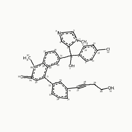 Cn1cncc1C(O)(c1ccc(Cl)cc1)c1ccc2c(c1)c(-c1cccc(C#CCCO)c1)cc(=O)n2C